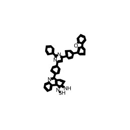 N=C1C=Cc2c(-c3ccc(-c4cc(-c5ccc(-c6cccc7c6oc6ccccc67)cc5)nc(-c5ccccc5)n4)cc3)nc3ccccc3c2/C1=N/S